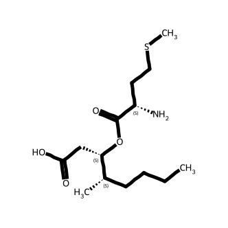 CCCC[C@H](C)[C@H](CC(=O)O)OC(=O)[C@@H](N)CCSC